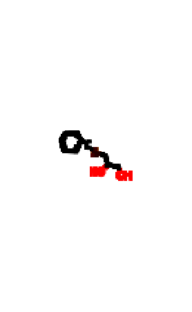 OCC(O)CSCc1ccccc1